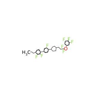 CCCc1ccc(-c2ccc(C3CCC(CCC(F)(F)Oc4cc(F)c(F)c(F)c4)CC3)c(F)c2)c(F)c1F